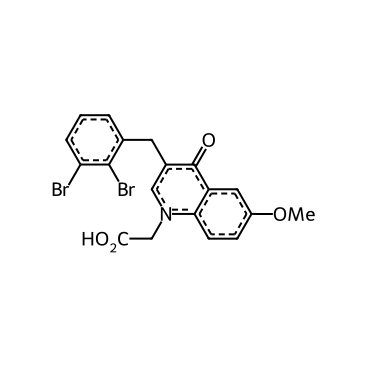 COc1ccc2c(c1)c(=O)c(Cc1cccc(Br)c1Br)cn2CC(=O)O